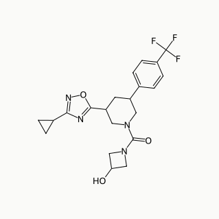 O=C(N1CC(O)C1)N1CC(c2ccc(C(F)(F)F)cc2)CC(c2nc(C3CC3)no2)C1